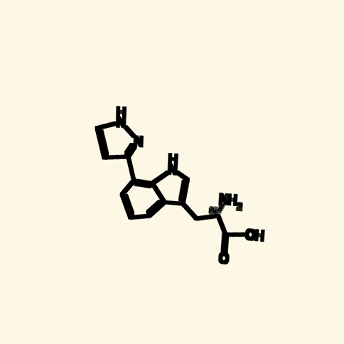 N[C@@H](Cc1c[nH]c2c(-c3cc[nH]n3)cccc12)C(=O)O